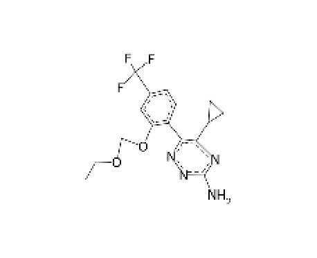 CCOCOc1cc(C(F)(F)F)ccc1-c1nnc(N)nc1C1CC1